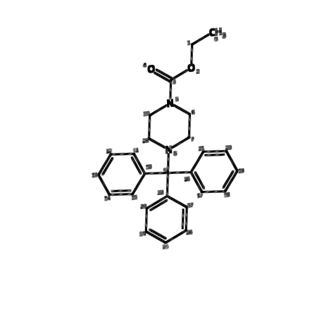 CCOC(=O)N1CCN(C(c2ccccc2)(c2ccccc2)c2ccccc2)CC1